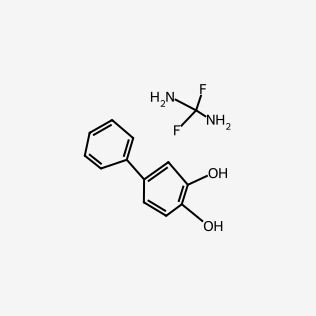 NC(N)(F)F.Oc1ccc(-c2ccccc2)cc1O